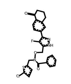 O=C1CCCc2cc(-c3n[nH]c(CON(Cc4ccc(Cl)s4)C(=O)c4ccccc4)c3F)ccc21